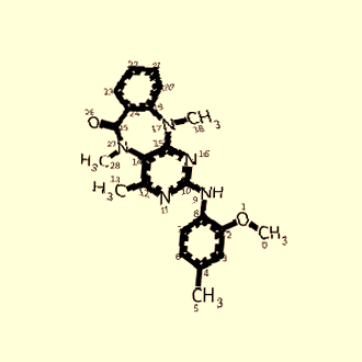 COc1cc(C)ccc1Nc1nc(C)c2c(n1)N(C)c1ccccc1C(=O)N2C